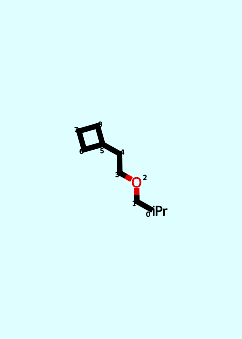 CC(C)COCCC1CCC1